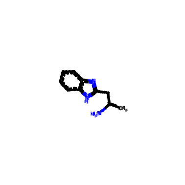 CC(N)Cc1nc2ccccc2[nH]1